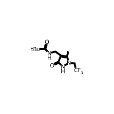 Cc1c(CNC(=O)C(C)(C)C)c(=O)[nH]n1CC(F)(F)F